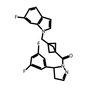 O=C(N1N=CCC1c1cc(F)cc(F)c1)C12CC(Cn3ccc4ccc(F)cc43)(C1)C2